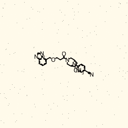 C[C@H]1CC2CN(C(=O)CCOCc3cccc4ncnn34)CC1N2c1ccc(C#N)cn1